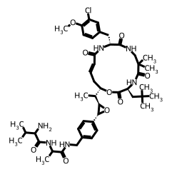 COc1ccc(C[C@H]2NC(=O)/C=C/C[C@@H](C(C)[C@H]3O[C@@H]3c3ccc(CNC(=O)C(C)NC(=O)C(N)C(C)C)cc3)OC(=O)[C@H](CC(C)(C)C)NC(=O)C(C)(C)CNC2=O)cc1Cl